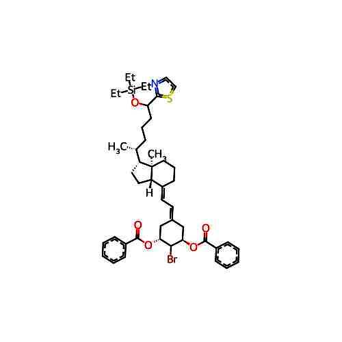 CC[Si](CC)(CC)OC(CCC[C@@H](C)[C@H]1CC[C@H]2/C(=C/C=C3C[C@@H](OC(=O)c4ccccc4)C(Br)[C@H](OC(=O)c4ccccc4)C3)CCC[C@]12C)c1nccs1